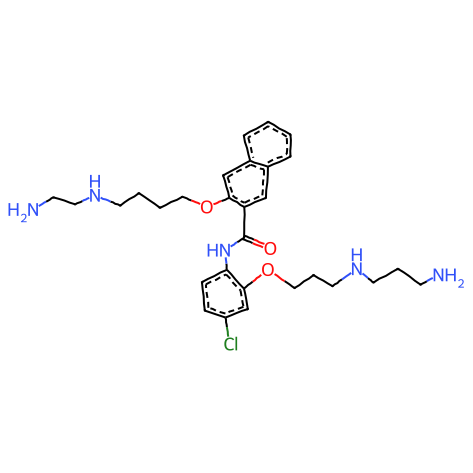 NCCCNCCCOc1cc(Cl)ccc1NC(=O)c1cc2ccccc2cc1OCCCCNCCN